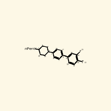 CCCCCC1CCC(c2ccc(-c3ccc(F)c(F)c3)cc2)CC1